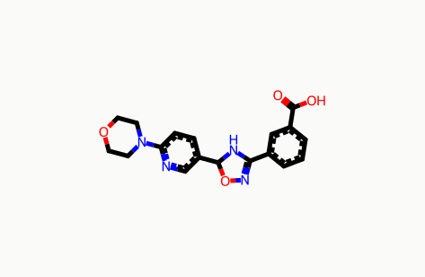 O=C(O)c1cccc(C2=NOC(c3ccc(N4CCOCC4)nc3)N2)c1